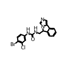 O=C(NCC1c2ccccc2-c2cncn21)Nc1ccc(Br)c(Cl)c1